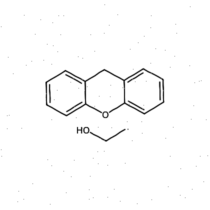 [CH2]CO.c1ccc2c(c1)Cc1ccccc1O2